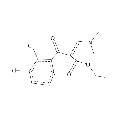 CCOC(=O)C(=CN(C)C)C(=O)c1nccc(Cl)c1Cl